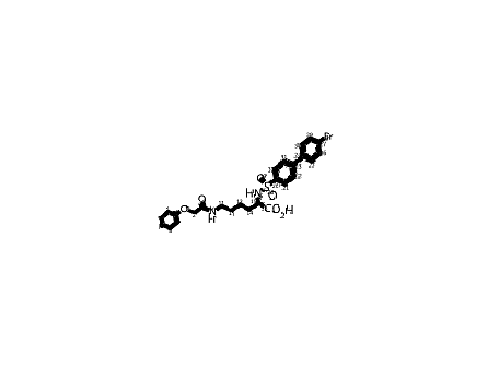 O=C(COc1ccccc1)NCCCCC(NS(=O)(=O)c1ccc(-c2ccc(Br)cc2)cc1)C(=O)O